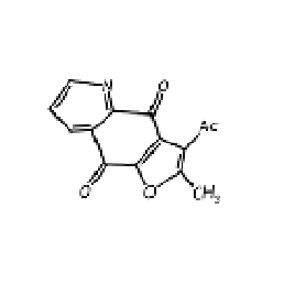 CC(=O)c1c(C)oc2c1C(=O)c1ncccc1C2=O